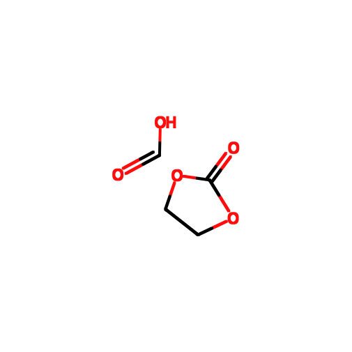 O=C1OCCO1.O=CO